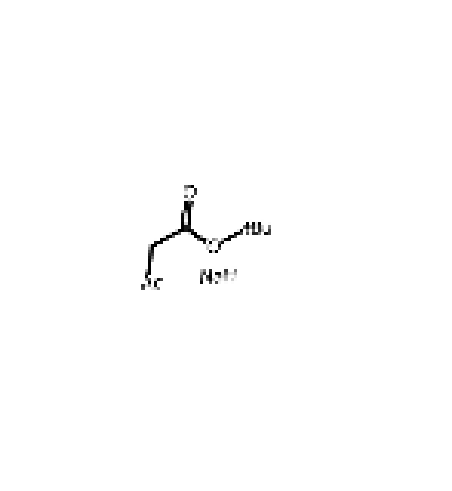 CC(=O)CC(=O)OC(C)(C)C.[NaH]